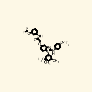 C[C@@H]1C[C@H](n2c(Nc3ccc(OC(F)(F)F)cc3)nc3cc(OCC(=O)Nc4cccc(OC(F)F)c4)ccc32)CC(C)(C)C1